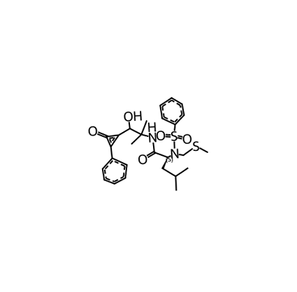 CSCN([C@@H](CC(C)C)C(=O)NC(C)(C)C(O)c1c(-c2ccccc2)c1=O)S(=O)(=O)c1ccccc1